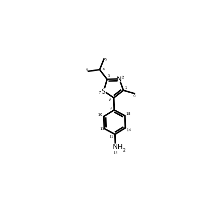 Cc1nc(C(C)C)sc1-c1ccc(N)cc1